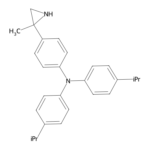 CC(C)c1ccc(N(c2ccc(C(C)C)cc2)c2ccc(C3(C)CN3)cc2)cc1